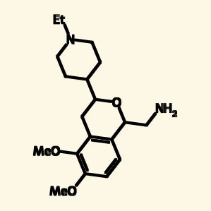 CCN1CCC(C2Cc3c(ccc(OC)c3OC)C(CN)O2)CC1